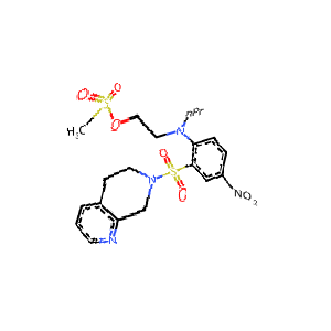 CCCN(CCOS(C)(=O)=O)c1ccc([N+](=O)[O-])cc1S(=O)(=O)N1CCc2cccnc2C1